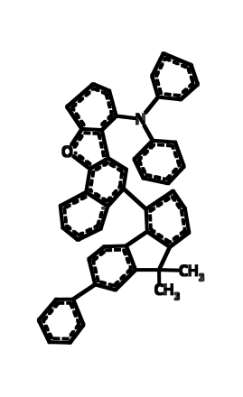 CC1(C)c2cc(-c3ccccc3)ccc2-c2c(-c3cc4c(oc5cccc(N(c6ccccc6)c6ccccc6)c54)c4ccccc34)cccc21